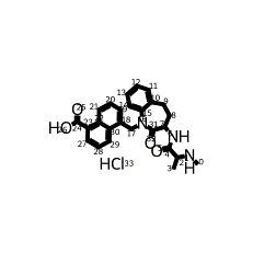 CNC(C)C(=O)NC1CCc2ccccc2N(Cc2cccc3c(C(=O)O)cccc23)C1=O.Cl